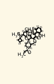 C=CC(=O)N1CCN2C(=O)c3c(N4CC(N(C)C5CCC5)CC4(C)C)nc(-c4c(O)cccc4F)c(Cl)c3OCC2C1